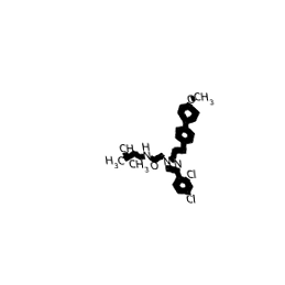 COc1ccc(-c2ccc(C=Cc3nc(-c4ccc(Cl)cc4Cl)cn3CC(=O)NCCC(C)(C)C)cc2)cc1